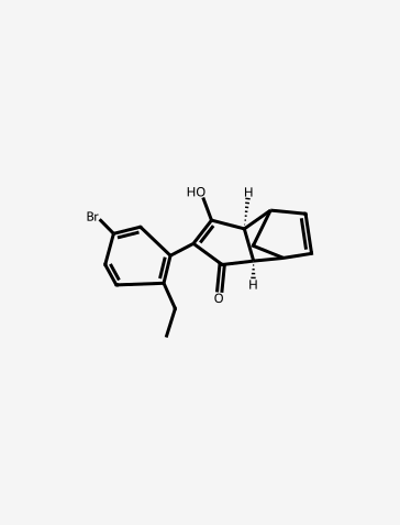 CCc1ccc(Br)cc1C1=C(O)[C@H]2C3C=CC(C3)[C@H]2C1=O